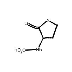 O=C(O)NC1CCSC1=O